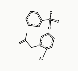 C=C(C)C[n+]1ccccc1C(C)=O.O=S(=O)([O-])c1ccccc1